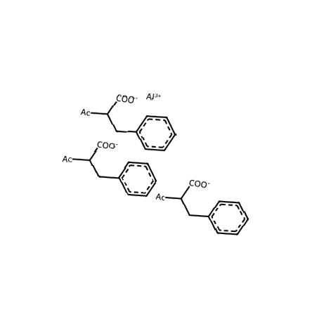 CC(=O)C(Cc1ccccc1)C(=O)[O-].CC(=O)C(Cc1ccccc1)C(=O)[O-].CC(=O)C(Cc1ccccc1)C(=O)[O-].[Al+3]